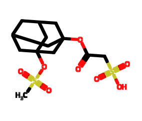 CS(=O)(=O)OC12CC3CC(CC(OC(=O)CS(=O)(=O)O)(C3)C1)C2